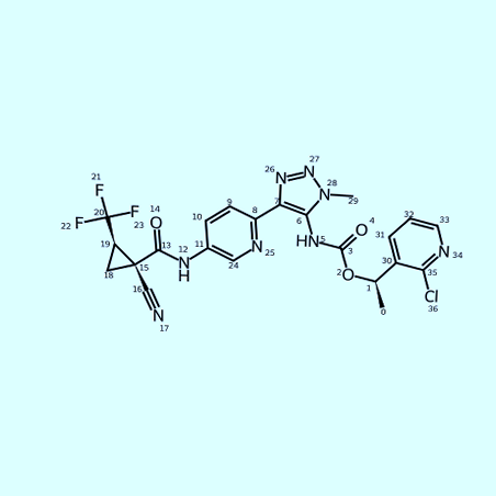 C[C@@H](OC(=O)Nc1c(-c2ccc(NC(=O)[C@]3(C#N)C[C@H]3C(F)(F)F)cn2)nnn1C)c1cccnc1Cl